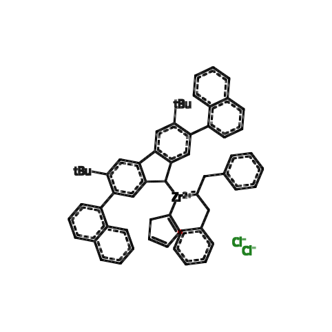 CC(C)(C)c1cc2c(cc1-c1cccc3ccccc13)[CH]([Zr+2]([C]1=CC=CC1)=[C](Cc1ccccc1)Cc1ccccc1)c1cc(-c3cccc4ccccc34)c(C(C)(C)C)cc1-2.[Cl-].[Cl-]